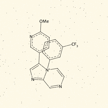 COc1ccc(C2=CN=C3C=NC=C[N+]23c2cccc(C(F)(F)F)c2)cn1